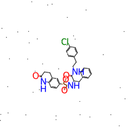 O=C1CCc2cc(S(=O)(=O)NC(Cc3ccccc3)C(=O)NCCc3ccc(Cl)cc3)ccc2N1